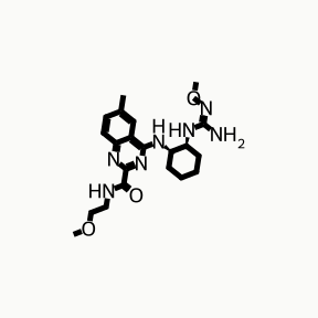 COCCNC(=O)c1nc(N[C@@H]2CCCC[C@@H]2N/C(N)=N\OC)c2cc(C)ccc2n1